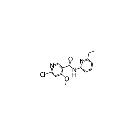 CCc1cccc(NC(=O)c2cnc(Cl)cc2OC)n1